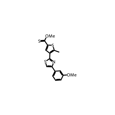 COC(=S)c1cc(-c2nc(-c3cccc(OC)c3)cs2)c(C)s1